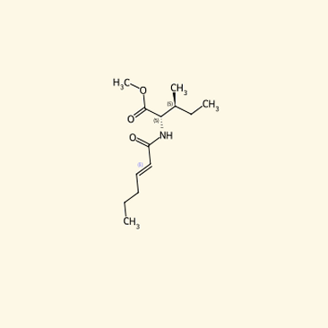 CCC/C=C/C(=O)N[C@H](C(=O)OC)[C@@H](C)CC